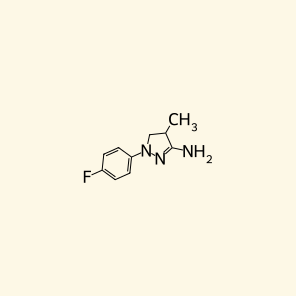 CC1CN(c2ccc(F)cc2)N=C1N